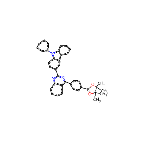 CC1(C)OB(c2ccc(-c3nc(-c4ccc5c(c4)c4ccccc4n5-c4ccccc4)nc4ccccc34)cc2)OC1(C)C